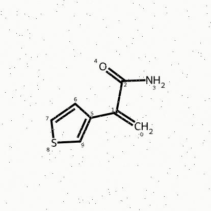 C=C(C(N)=O)c1ccsc1